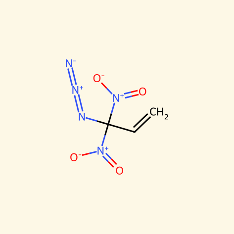 C=CC(N=[N+]=[N-])([N+](=O)[O-])[N+](=O)[O-]